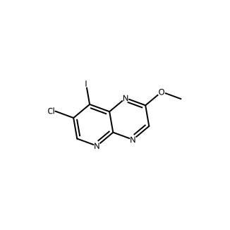 COc1cnc2ncc(Cl)c(I)c2n1